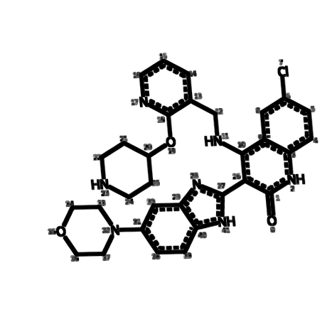 O=c1[nH]c2ccc(Cl)cc2c(NCc2cccnc2OC2CCNCC2)c1-c1nc2cc(N3CCOCC3)ccc2[nH]1